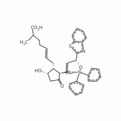 CC(CCC=CC[C@H]1[C@@H](O)CC(=O)[C@@H]1C=C[C@@H](O[Si](c1ccccc1)(c1ccccc1)C(C)(C)C)c1nc2ccccc2s1)C(=O)O